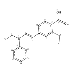 CCc1cc(N=CN(CC)c2ccccc2)ccc1C(=O)O